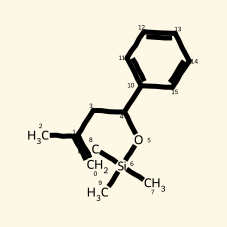 C=C(C)CC(O[Si](C)(C)C)c1ccccc1